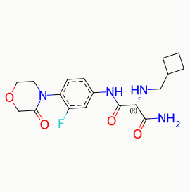 NC(=O)[C@@H](NCC1CCC1)C(=O)Nc1ccc(N2CCOCC2=O)c(F)c1